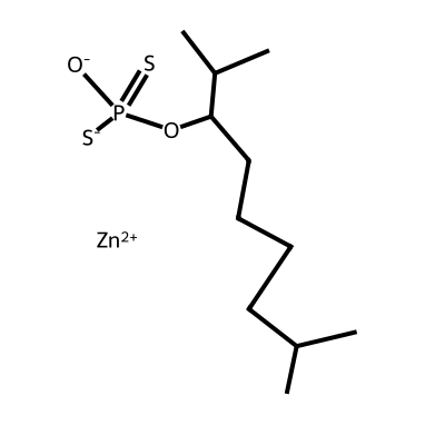 CC(C)CCCCC(OP([O-])(=S)[S-])C(C)C.[Zn+2]